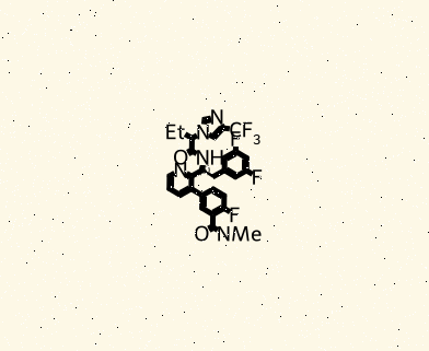 CCC(C(=O)N[C@@H](Cc1cc(F)cc(F)c1)c1ncccc1-c1ccc(F)c(C(=O)NC)c1)n1cnc(C(F)(F)F)c1